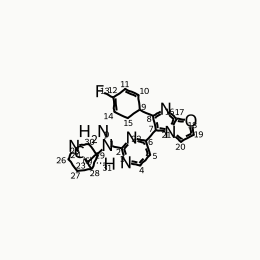 NN(c1nccc(-c2c(C3C=CC(F)=CC3)nc3occn23)n1)[C@@H]1CN2CCC1CC2